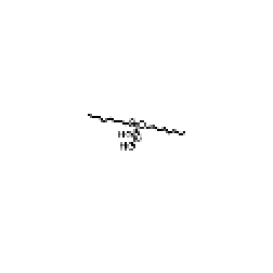 CCCCCCCCOS(=O)OCCCCCCCC.[O]=[Ti]([OH])[OH]